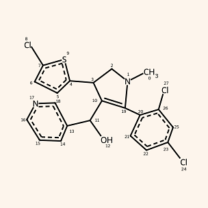 CN1CC(c2ccc(Cl)s2)C(C(O)c2cccnc2)=C1c1ccc(Cl)cc1Cl